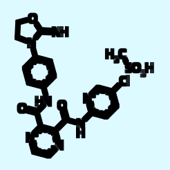 CS(=O)(=O)O.N=C1OCCN1c1ccc(NC(=O)c2nccnc2C(=O)Nc2ccc(Cl)cn2)cc1